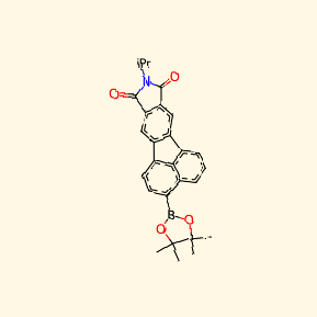 CC(C)N1C(=O)c2cc3c(cc2C1=O)-c1ccc(B2OC(C)(C)C(C)(C)O2)c2cccc-3c12